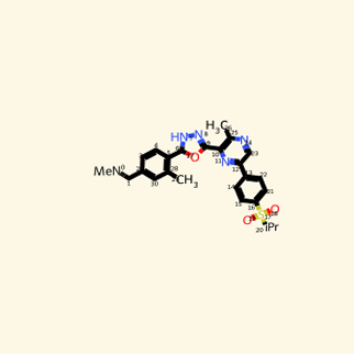 CNCc1ccc(C2NN=C(c3nc(-c4ccc(S(=O)(=O)C(C)C)cc4)cnc3C)O2)c(C)c1